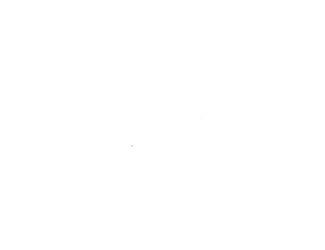 Cl.I.O.[KH].[KH]